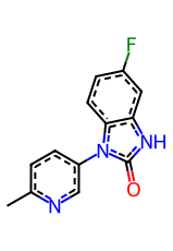 Cc1ccc(-n2c(=O)[nH]c3cc(F)ccc32)cn1